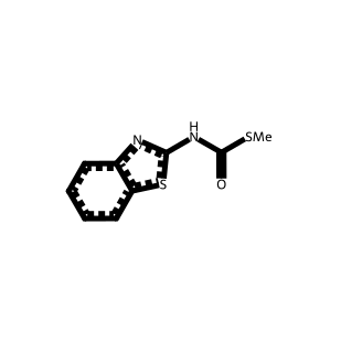 CSC(=O)Nc1nc2ccccc2s1